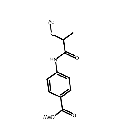 COC(=O)c1ccc(NC(=O)C(C)SC(C)=O)cc1